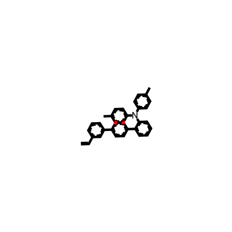 C=Cc1cccc(-c2ccc(-c3ccccc3N(c3ccc(C)cc3)c3ccc(C)cc3)cc2)c1